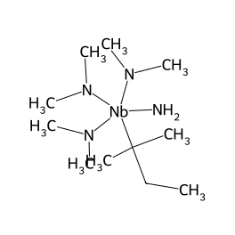 CC[C](C)(C)[Nb]([NH2])([N](C)C)([N](C)C)[N](C)C